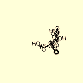 CC(C)(CO)C(=O)SCCOP(=O)(NCc1ccccc1)OC[C@H]1O[C@@H](n2ccc(=O)[nH]c2=O)C(O)[C@@]1(C)O